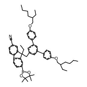 CCCCC(CC)COc1ccc(-c2cc(CC3(CC)c4cc(C#N)ccc4-c4ccc(B5OC(C)(C)C(C)(C)O5)cc43)cc(-c3ccc(OCC(CC)CCCC)cc3)c2)cc1